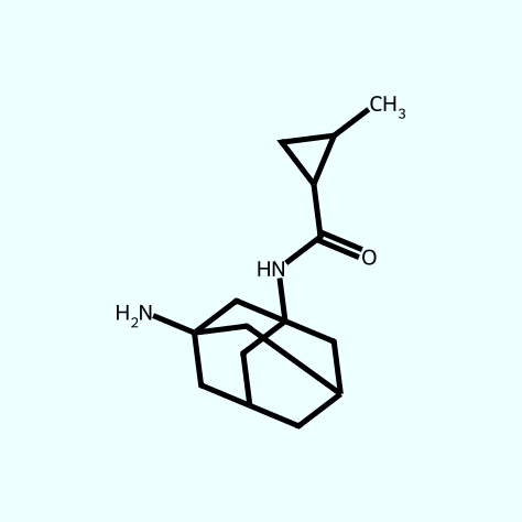 CC1CC1C(=O)NC12CC3CC(CC(N)(C3)C1)C2